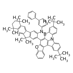 CC(C)(C)c1ccc2c(c1)B1c3c(c4oc5ccccc5c4c4c5cc(C(C)(C)C)ccc5n-2c34)-c2cc3c(cc2N1c1cccc(-c2ccccc2)c1)-c1cc2c(cc1C3(C)C)C(C)(C)CCC2(C)C